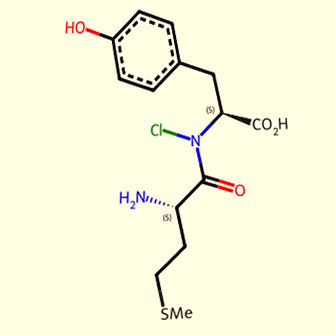 CSCC[C@H](N)C(=O)N(Cl)[C@@H](Cc1ccc(O)cc1)C(=O)O